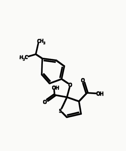 CC(C)c1ccc(OC2(C(=O)O)SC=CC2C(=O)O)cc1